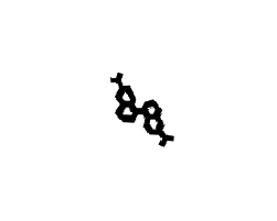 CC(C)c1ccc2c(-c3cccc4cc(C(C)C)ccc34)cccc2c1